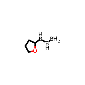 BBBC1CCCO1